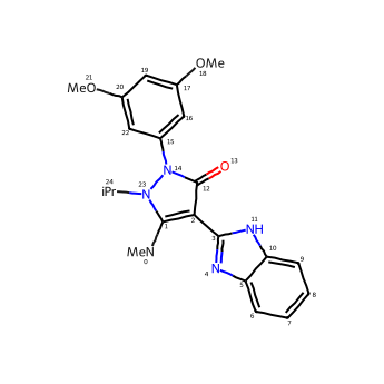 CNc1c(-c2nc3ccccc3[nH]2)c(=O)n(-c2cc(OC)cc(OC)c2)n1C(C)C